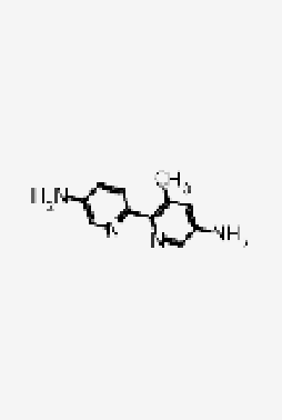 Cc1cc(N)cnc1-c1ccc(N)cn1